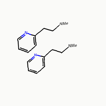 CNCCc1ccccn1.CNCCc1ccccn1